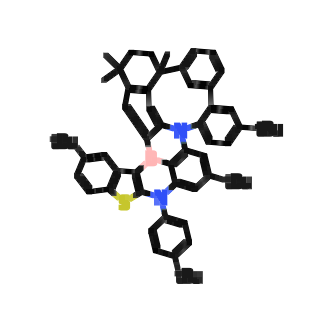 CC(C)(C)c1ccc(N2c3cc(C(C)(C)C)cc4c3B(c3cc5c6cc3N4c3ccc(C(C)(C)C)cc3-c3cccc(c3)C6(C)CCC5(C)C)c3c2sc2ccc(C(C)(C)C)cc32)cc1